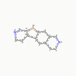 c1cc2cc3c(cc2cn1)sc1cnccc13